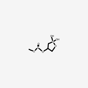 COS(=O)OC1COS(O)(O)C1